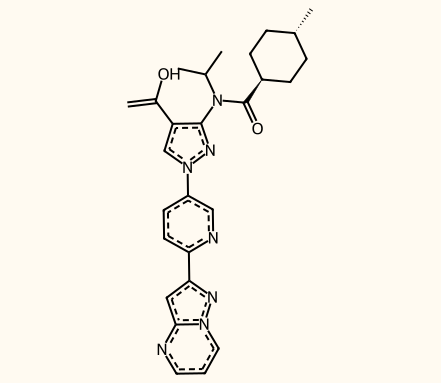 C=C(O)c1cn(-c2ccc(-c3cc4ncccn4n3)nc2)nc1N(C(=O)[C@H]1CC[C@H](C)CC1)C(C)C